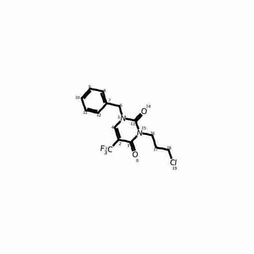 O=c1c(C(F)(F)F)cn(Cc2ccccc2)c(=O)n1CCCCl